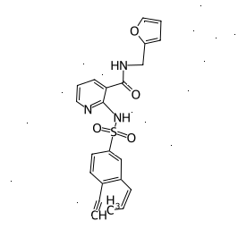 C#Cc1ccc(S(=O)(=O)Nc2ncccc2C(=O)NCc2ccco2)cc1/C=C\C